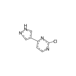 Clc1nccc(-c2cn[nH]c2)n1